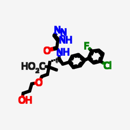 CC(CCOCCCO)(C[C@@H](Cc1ccc(-c2cc(Cl)ccc2F)cc1)NC(=O)c1cnn[nH]1)C(=O)O